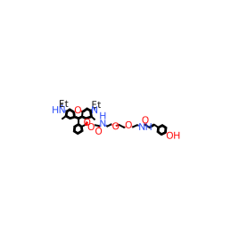 CC/N=c1\cc2oc3cc(NCC)c(C)cc3c(-c3ccccc3C(=O)OCC(=O)NCCOCCOCCNC(=O)/C=C/c3ccc(O)cc3)c-2cc1C